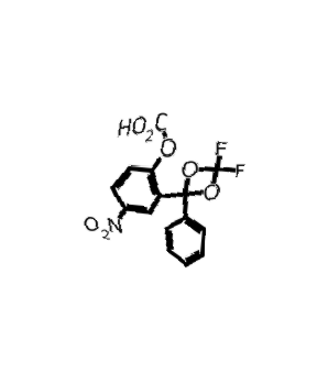 O=C(O)Oc1ccc([N+](=O)[O-])cc1C1(c2ccccc2)OC(F)(F)O1